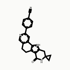 N#Cc1ccc(-c2cc3c(cn2)CCc2c-3[nH]c3c2C(=O)NC2(CC2)C3)cc1